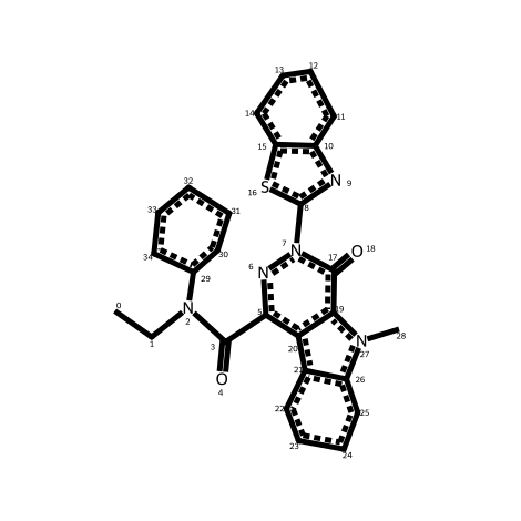 CCN(C(=O)c1nn(-c2nc3ccccc3s2)c(=O)c2c1c1ccccc1n2C)c1ccccc1